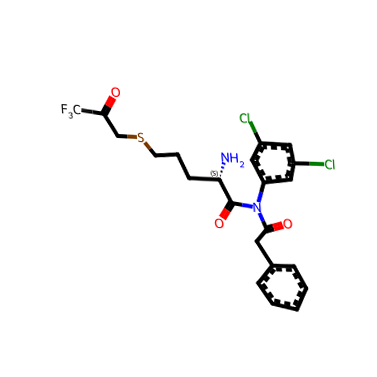 N[C@@H](CCCSCC(=O)C(F)(F)F)C(=O)N(C(=O)Cc1ccccc1)c1cc(Cl)cc(Cl)c1